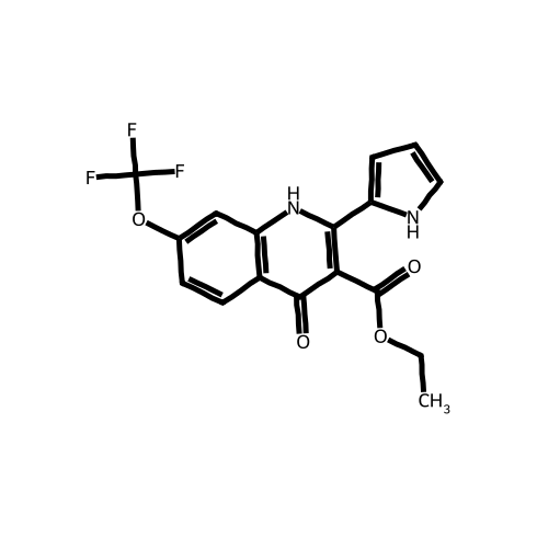 CCOC(=O)c1c(-c2ccc[nH]2)[nH]c2cc(OC(F)(F)F)ccc2c1=O